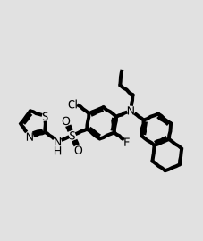 CCCN(c1ccc2c(c1)CCCC2)c1cc(Cl)c(S(=O)(=O)Nc2nccs2)cc1F